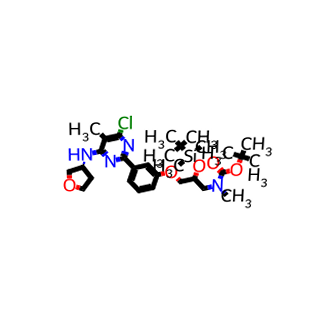 Cc1c(Cl)nc(-c2cccc(OCC(CN(C)C(=O)OC(C)(C)C)O[Si](C)(C)C(C)(C)C)c2)nc1N[C@@H]1CCOC1